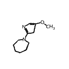 COC1=CN=C(N2CCCCCC2)C1